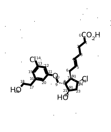 O=C(O)CCCC=CC[C@@H]1[C@@H](COc2cc(Cl)cc(CCO)c2)[C@H](O)C[C@H]1Cl